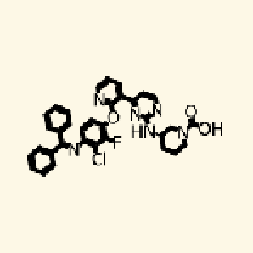 O=C(O)N1CCC[C@H](Nc2nccc(-c3cccnc3Oc3ccc(N=C(c4ccccc4)c4ccccc4)c(Cl)c3F)n2)C1